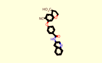 N#Cc1cc2c(cc1Oc1ccc(C(=O)Nc3cnc4ccccc4c3)cc1)OCCC2C(=O)O